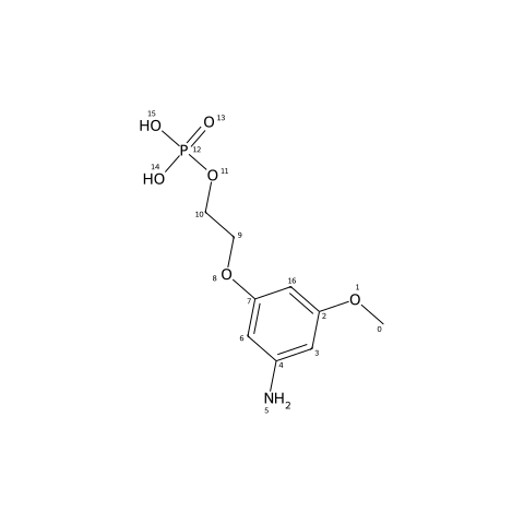 COc1cc(N)cc(OCCOP(=O)(O)O)c1